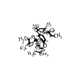 CCC(=O)O[C@@H](C)CC(N)(Cc1ccc(OC(=O)OC(C)CC)c(OC(=O)OC(C)CC)c1)C(=O)O